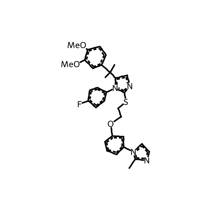 COc1ccc(C(C)(C)c2cnc(SCCOc3cccc(-n4ccnc4C)c3)n2-c2ccc(F)cc2)cc1OC